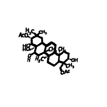 CC(=O)OC[C@]1(C)C2CC[C@]3(C)C(CC=C4C5CC(C)(C)[C@@H](OC(C)=O)[C@H](O)[C@]5(CO)[C@H](O)C[C@]43C)[C@@]2(C)CC[C@@H]1O